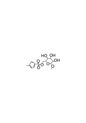 CO[C@H]1OC(COS(=O)(=O)c2ccc(C)cc2)[C@@H](O)C(O)[C@H]1O